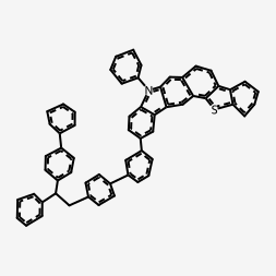 c1ccc(-c2ccc(C(Cc3ccc(-c4cccc(-c5ccc6c(c5)c5cc7c(ccc8c9ccccc9sc78)cc5n6-c5ccccc5)c4)cc3)c3ccccc3)cc2)cc1